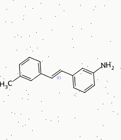 Cc1cccc(/C=C/c2cccc(N)c2)c1